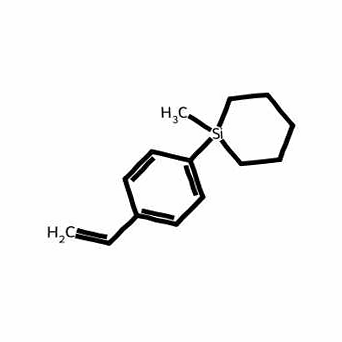 C=Cc1ccc([Si]2(C)CCCCC2)cc1